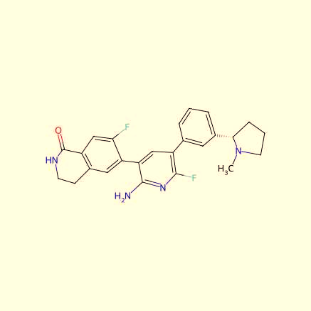 CN1CCC[C@H]1c1cccc(-c2cc(-c3cc4c(cc3F)C(=O)NCC4)c(N)nc2F)c1